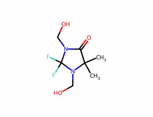 CC1(C)C(=O)N(CO)C(F)(F)N1CO